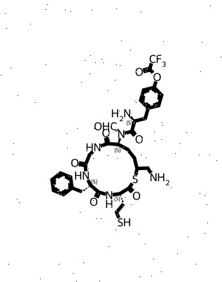 NCC1CC[C@H](N(C=O)C(=O)[C@@H](N)Cc2ccc(OC(=O)C(F)(F)F)cc2)C(=O)NCC(=O)N[C@@H](Cc2ccccc2)C(=O)N[C@@H](CCS)C(=O)S1